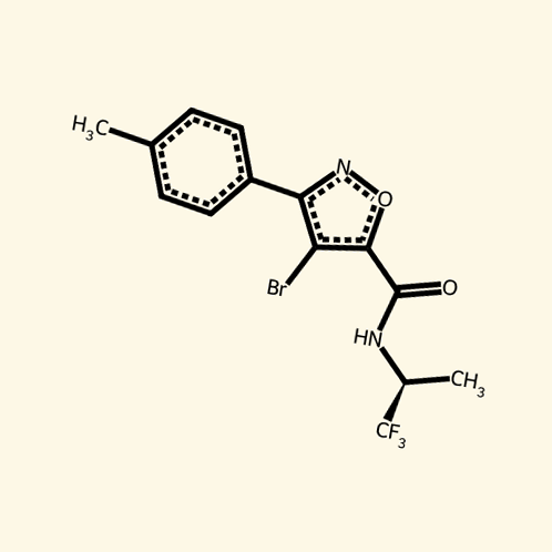 Cc1ccc(-c2noc(C(=O)N[C@@H](C)C(F)(F)F)c2Br)cc1